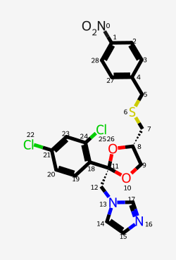 O=[N+]([O-])c1ccc(CSC[C@@H]2CO[C@@](Cn3ccnc3)(c3ccc(Cl)cc3Cl)O2)cc1